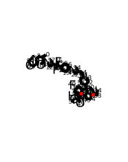 C=C(CN1CCOCC1)C(=O)N1CC(C(F)(F)c2ccc(N3CC(CN4CCC([C@@](CN5CCC5)(c5cccc(F)c5)[C@H]5CCC[C@@H]5NC(=O)OC)CC4)C3)cc2)C1